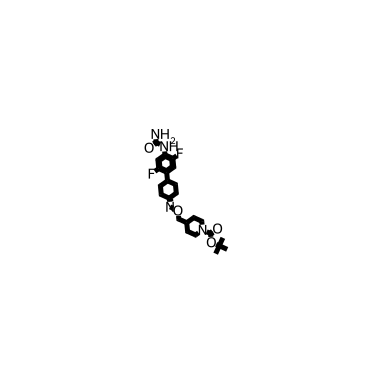 CC(C)(C)OC(=O)N1CCC(CON=C2CCC(c3cc(F)c(NC(N)=O)cc3F)CC2)CC1